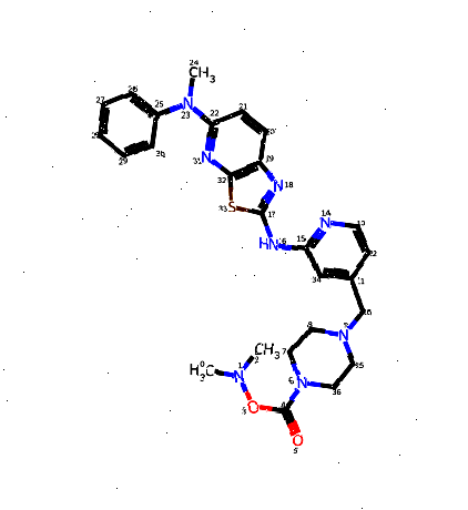 CN(C)OC(=O)N1CCN(Cc2ccnc(Nc3nc4ccc(N(C)c5ccccc5)nc4s3)c2)CC1